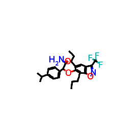 CCCc1cc2c(C(F)(F)F)noc2c(CCC)c1OC(C(N)=O)c1ccc(C(C)C)cc1